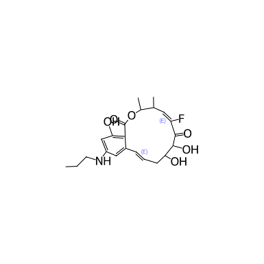 CCCNc1cc(O)c2c(c1)/C=C/CC(O)C(O)C(=O)/C(F)=C\C(C)C(C)OC2=O